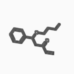 C=CC(=O)CC(OCCCC)c1ccccc1